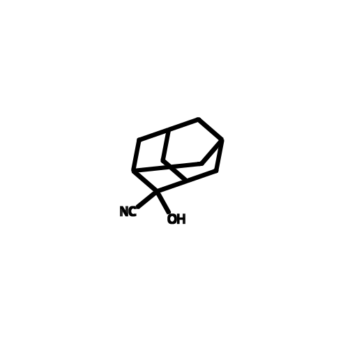 N#CC1(O)C2CC3CC(C2)CC1C3